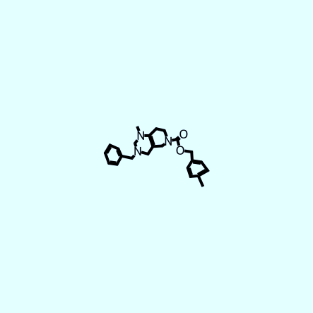 Cc1ccc(COC(=O)N2CCC3=C(CN(Cc4ccccc4)CN3C)C2)cc1